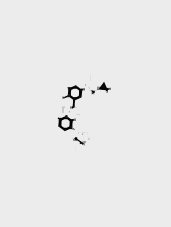 O=C(Nc1c(F)ccc(NC(=O)C(F)(F)Br)c1F)c1cc(NC(=O)[C@H]2CC2(Cl)Cl)cc(F)c1Cl